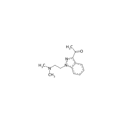 CC(=O)c1nn(CCN(C)C)c2ccccc12